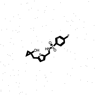 O=S(=O)(NCc1ccc(CC2(O)CC2)s1)c1ccc(F)cc1